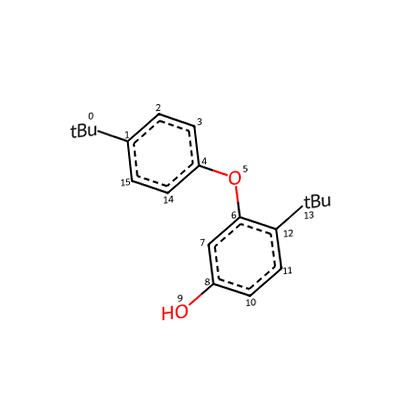 CC(C)(C)c1ccc(Oc2cc(O)ccc2C(C)(C)C)cc1